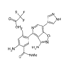 CNC(=O)c1cc(-c2ncc(-c3cn[nH]c3)c3onc(N)c23)c(F)cc1N.O=C(O)C(F)(F)F